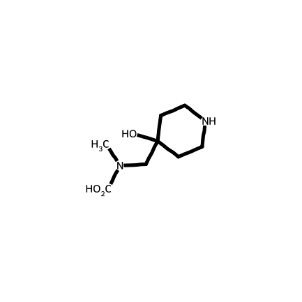 CN(CC1(O)CCNCC1)C(=O)O